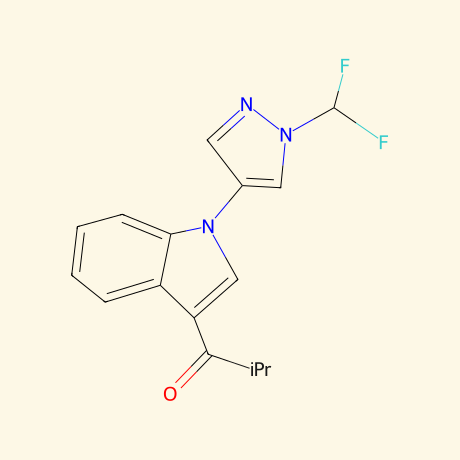 CC(C)C(=O)c1cn(-c2cnn(C(F)F)c2)c2ccccc12